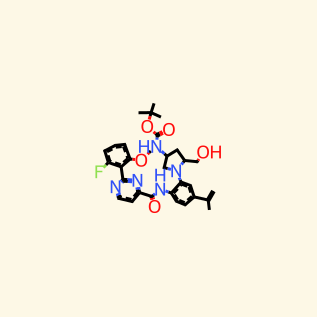 C=C(C)c1ccc(NC(=O)c2ccnc(-c3c(F)cccc3OC)n2)c(N2CC(NC(=O)OC(C)(C)C)CC2CO)c1